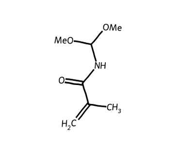 C=C(C)C(=O)NC(OC)OC